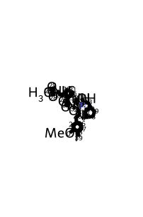 COc1cc(CN2CC3CCC(CC3)C/C(O)=C(/C3=NS(=O)(=O)c4c(CNS(C)(=O)=O)csc4N3)C2=O)ccc1F